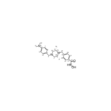 C[C@@H]1CN(Cc2ccc(N(C)C)cc2)C[C@H](C)N1Cc1ccc(C(=O)NO)cc1